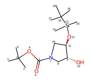 CC(C)(C)OC(=O)N1C[C@@H](O)[C@H](O[Si](C)(C)C(C)(C)C)C1